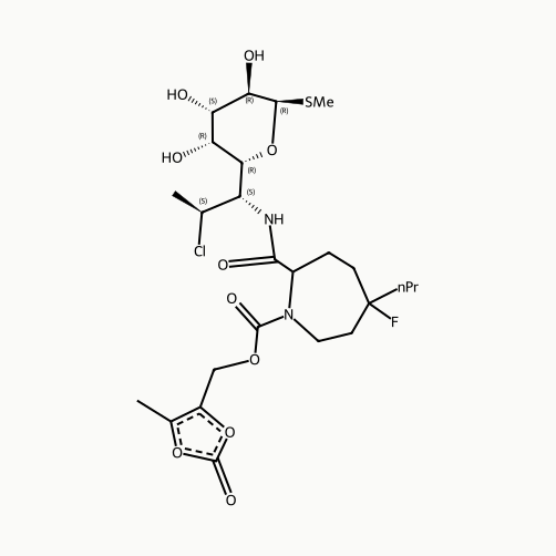 CCCC1(F)CCC(C(=O)N[C@@H]([C@H]2O[C@H](SC)[C@H](O)[C@@H](O)[C@H]2O)[C@H](C)Cl)N(C(=O)OCc2oc(=O)oc2C)CC1